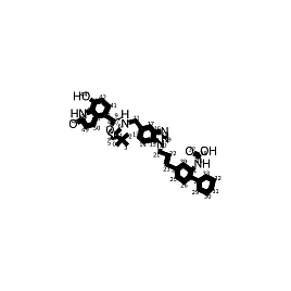 CC(C)(C)[Si](C)(C)O[C@@H](CNCc1ccc2c(c1)nnn2CC=Cc1ccc(-c2ccccc2)c(NC(=O)O)c1)c1ccc(O)c2[nH]c(=O)ccc12